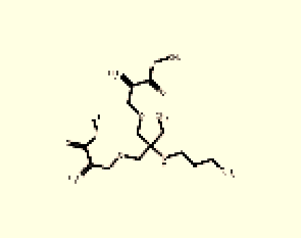 C=C(COCC(CC)(COCC(=C)C(=O)OC)NCCCC)C(=O)OC